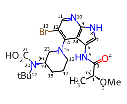 CO[C@@H](C)C(=O)Nc1c[nH]c2ncc(Br)c(N3CCC[C@@H](N(C(=O)O)C(C)(C)C)C3)c12